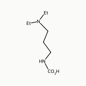 CCN(CC)CCCNC(=O)O